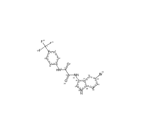 O=C(Nc1ccc(C(F)(F)F)cc1)C(=O)Nc1c[nH]c2ccc(Br)cc12